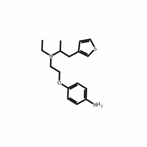 CCN(CCOc1ccc(N)cc1)C(C)Cc1ccsc1